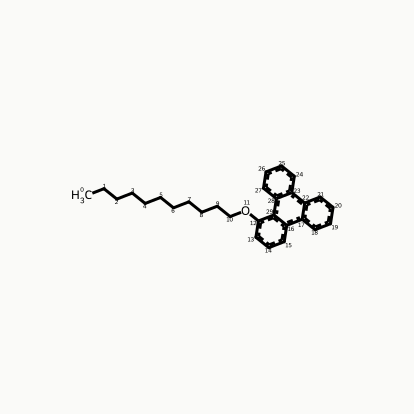 CCCCCCCCCCCOc1cccc2c3ccccc3c3ccccc3c12